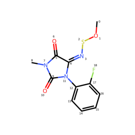 COS/N=C1\C(=O)N(C)C(=O)N1c1ccccc1F